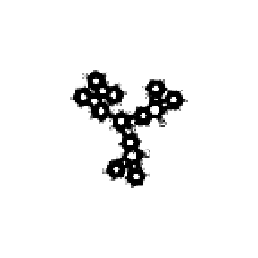 O=C1c2cc3c(cc2C2c4ccccc4C24c2ccccc2C14)c1cc(-c2ccc4c(c2)C2(c5ccccc5-c5ccccc52)c2ccccc2-4)cc2c4cc5c(cc4n3c12)C(=O)C1c2ccccc2C12c1ccccc1C52